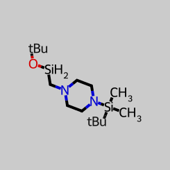 CC(C)(C)O[SiH2]CN1CCN([Si](C)(C)C(C)(C)C)CC1